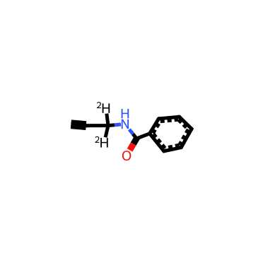 [2H]C([2H])(C#C)NC(=O)c1ccccc1